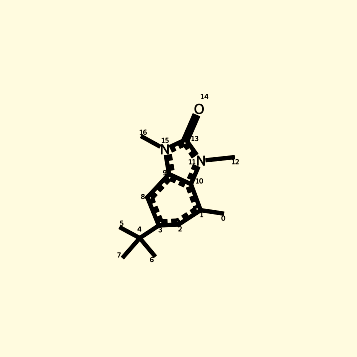 Cc1cc(C(C)(C)C)cc2c1n(C)c(=O)n2C